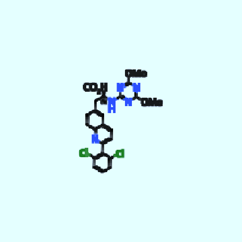 COc1nc(N[C@@H](Cc2ccc3nc(-c4c(Cl)cccc4Cl)ccc3c2)C(=O)O)nc(OC)n1